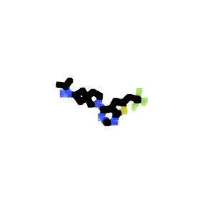 CC(C)NC1CC2(CCN(c3ncnc4sc(CC(F)(F)F)cc34)C2)C1